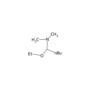 CCCCC(OCC)N(C)C